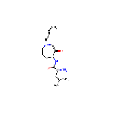 CCCCN1CCCC(NC(=O)[C@@H](N)CC(C)C)C(=O)C1